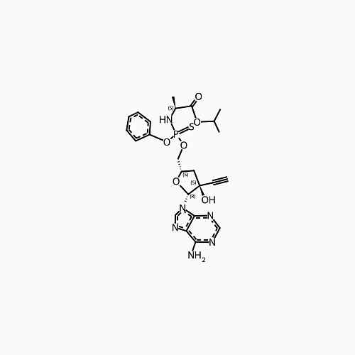 C#C[C@@]1(O)C[C@@H](COP(=S)(N[C@@H](C)C(=O)OC(C)C)Oc2ccccc2)O[C@H]1n1cnc2c(N)ncnc21